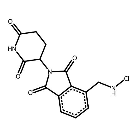 O=C1CCC(N2C(=O)c3cccc(CNCl)c3C2=O)C(=O)N1